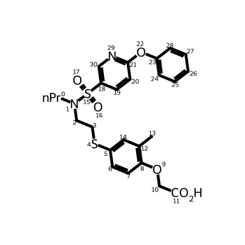 CCCN(CCSc1ccc(OCC(=O)O)c(C)c1)S(=O)(=O)c1ccc(Oc2ccccc2)nc1